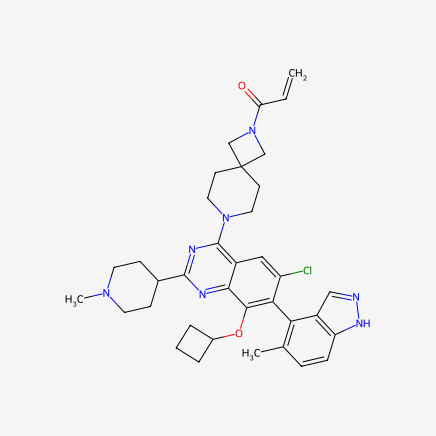 C=CC(=O)N1CC2(CCN(c3nc(C4CCN(C)CC4)nc4c(OC5CCC5)c(-c5c(C)ccc6[nH]ncc56)c(Cl)cc34)CC2)C1